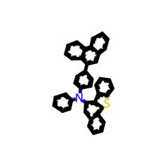 c1ccc(N(c2ccc(-c3cc4ccccc4c4ccccc34)cc2)c2cc3ccccc3c3sc4ccccc4c23)cc1